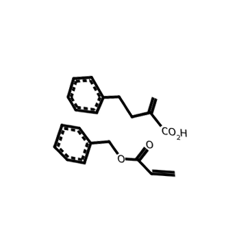 C=C(CCc1ccccc1)C(=O)O.C=CC(=O)OCc1ccccc1